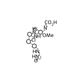 COc1cc(CNc2cccc(-c3cccc(-c4ccc(CNCC5CCC(=O)N5)cc4)c3Cl)c2C=N)c(Cl)cc1CN1CC(C(=O)O)C1